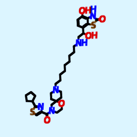 O=C(c1csc(C2CCCC2)n1)N1CCOC2(CCN(CCCCCCCCCNCC(O)c3ccc(O)c4[nH]c(=O)sc34)CC2)C1